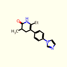 CCC1=C(c2ccc(-n3ccnc3)cc2)CC(C)C(=O)N1